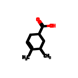 CC1=CCC(C(=O)O)CC1C